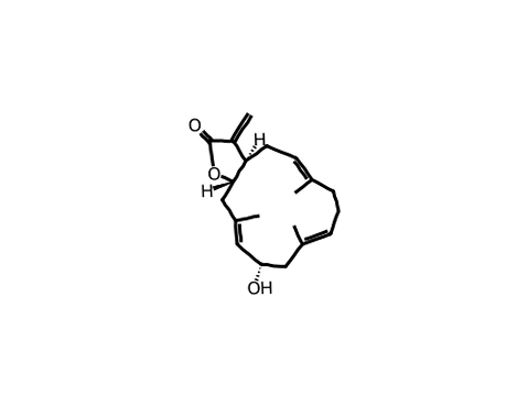 C=C1C(=O)O[C@H]2C/C(C)=C/[C@@H](O)C/C(C)=C/CC/C(C)=C/C[C@H]12